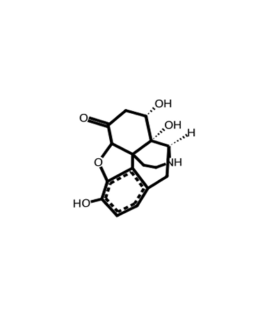 O=C1C[C@H](O)[C@@]2(O)[C@H]3Cc4ccc(O)c5c4C2(CCN3)C1O5